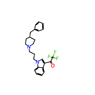 O=C(c1cn(CCCN2CCC(Cc3ccccc3)CC2)c2ccccc12)C(F)(F)F